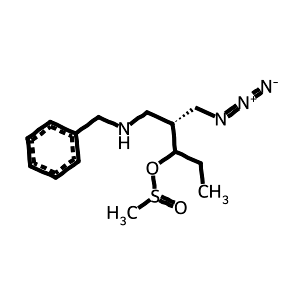 CCC(OS(C)=O)[C@@H](CN=[N+]=[N-])CNCc1ccccc1